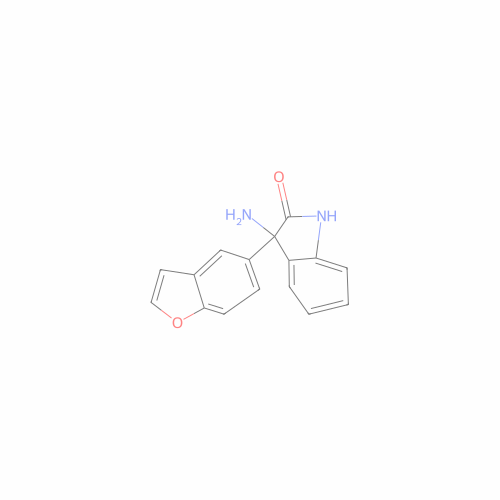 NC1(c2ccc3occc3c2)C(=O)Nc2ccccc21